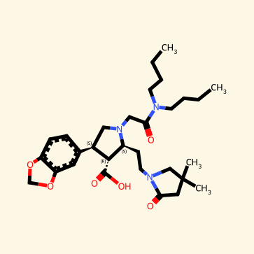 CCCCN(CCCC)C(=O)CN1C[C@H](c2ccc3c(c2)OCO3)[C@@H](C(=O)O)[C@@H]1CCN1CC(C)(C)CC1=O